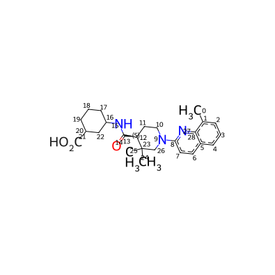 Cc1cccc2ccc(N3CC[C@H](C(=O)NC4CCCC(C(=O)O)C4)C(C)(C)C3)nc12